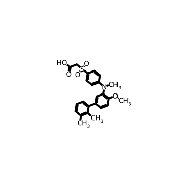 COc1ccc(-c2cccc(C)c2C)cc1N(C)c1ccc(S(=O)(=O)CC(=O)O)cc1